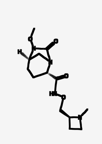 CON1C(=O)N2C[C@H]1CC[C@H]2C(=O)NOC[C@@H]1CCN1C